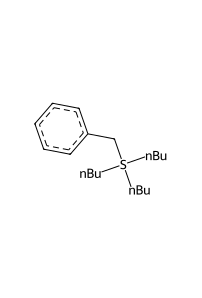 CCCCS(CCCC)(CCCC)Cc1ccccc1